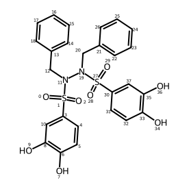 O=S(=O)(c1ccc(O)c(O)c1)N(Cc1ccccc1)N(Cc1ccccc1)S(=O)(=O)c1ccc(O)c(O)c1